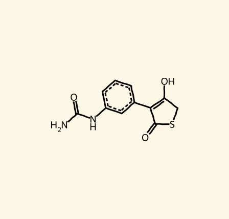 NC(=O)Nc1cccc(C2=C(O)CSC2=O)c1